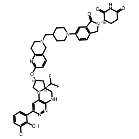 O=C1CC[C@H](N2Cc3ccc(N4CCC(CN5CCc6nc(O[C@H]7CN8c9cc(-c%10cccc(Cl)c%10O)nnc9NC[C@@]8(C(F)F)C7)ccc6C5)CC4)cc3C2=O)C(=O)N1